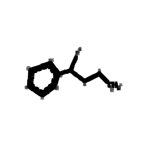 [CH2]CCC(F)c1ccccc1